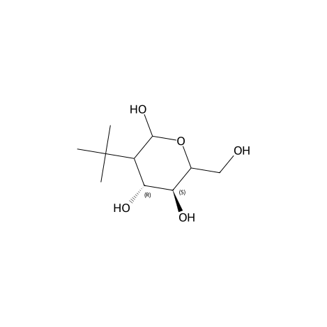 CC(C)(C)C1C(O)OC(CO)[C@@H](O)[C@@H]1O